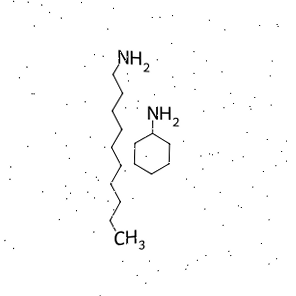 CCCCCCCCCCN.NC1CCCCC1